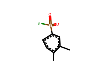 Cc1ccc(S(=O)(=O)Br)cc1C